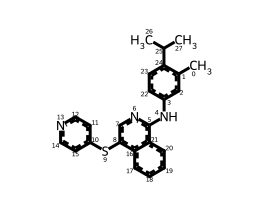 Cc1cc(Nc2ncc(Sc3ccncc3)c3ccccc23)ccc1C(C)C